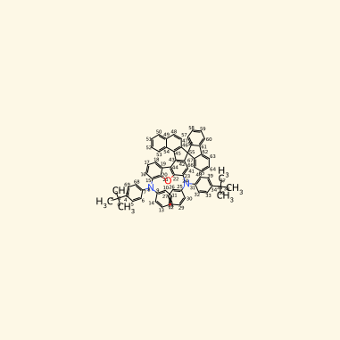 CC(C)(C)c1ccc(N(c2ccccc2)c2cccc3c2oc2c(N(c4ccccc4)c4ccc(C(C)(C)C)cc4)cc4c(c23)-c2c(ccc3ccccc23)C42c3ccccc3-c3ccccc32)cc1